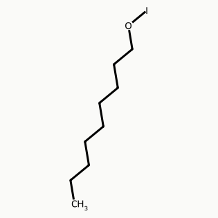 CCCCCCCCCOI